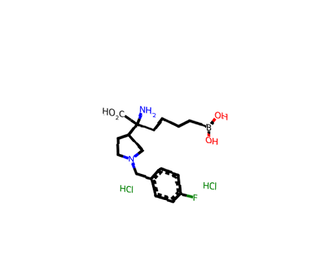 Cl.Cl.NC(CCCCB(O)O)(C(=O)O)C1CCN(Cc2ccc(F)cc2)C1